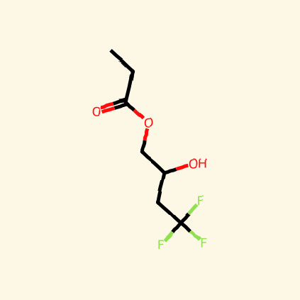 CCC(=O)OCC(O)CC(F)(F)F